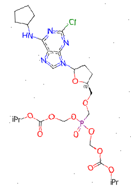 CC(C)OC(=O)OCOP(=O)(COC[C@@H]1CCC(n2cnc3c(NC4CCCC4)nc(Cl)nc32)O1)OCOC(=O)OC(C)C